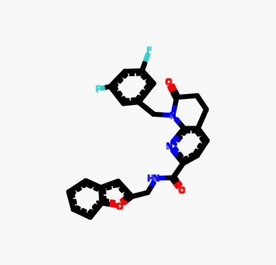 O=C(NCc1cc2ccccc2o1)c1ccc2c(n1)N(Cc1cc(F)cc(F)c1)C(=O)CC2